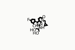 Cc1cc(F)ccc1-c1nc(NC(CO)CO)nc2c1ccc(=O)n2CC1CC1